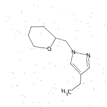 CCc1cnn(CC2CCCCO2)c1